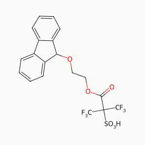 O=C(OCCOC1c2ccccc2-c2ccccc21)C(C(F)(F)F)(C(F)(F)F)S(=O)(=O)O